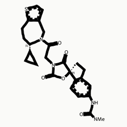 CNC(=O)Nc1ccc2c(c1)CC[C@@]21OC(=O)N(CC(=O)N2Cc3ccsc3CC[C@H]2C2CC2)C1=O